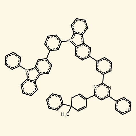 CC1(c2ccccc2)C=CC(c2cc(-c3ccccc3)nc(-c3cccc(-c4ccc5c(c4)c4ccccc4n5-c4cccc(-c5ccc6c7ccccc7n(-c7ccccc7)c6c5)c4)c3)n2)=CC1